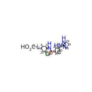 O=C(O)/C=C/c1ccc(NC(=O)c2cccc(NC3=NCCCN3)c2)c(Cl)c1